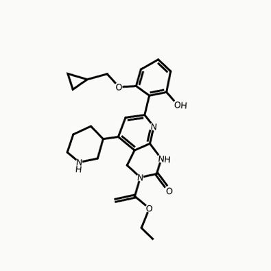 C=C(OCC)N1Cc2c(C3CCCNC3)cc(-c3c(O)cccc3OCC3CC3)nc2NC1=O